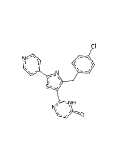 O=c1ccnc(-c2sc(-c3ccncc3)nc2Cc2ccc(Cl)cc2)[nH]1